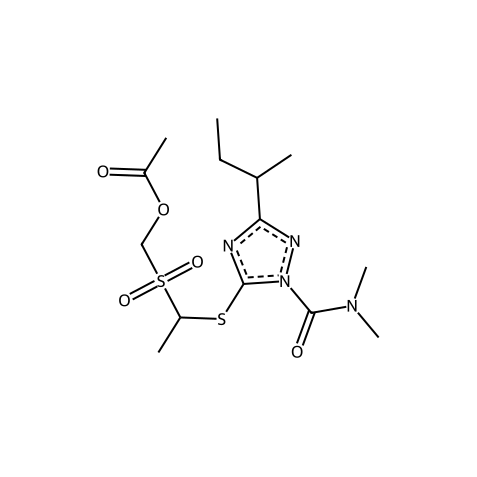 CCC(C)c1nc(SC(C)S(=O)(=O)COC(C)=O)n(C(=O)N(C)C)n1